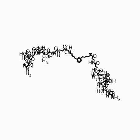 CC(C)(CCCCCCc1cccc(CCCCC2(C(=O)CCNC(=O)CCNC(=O)C(O)C(C)(C)COP(=O)(O)OP(=O)(O)OCC3OC(n4cnc5c(N)ncnc54)C(O)C3OP(=O)(O)O)CC2)c1)C(=O)CCNC(=O)CCNC(=O)C(O)C(C)(C)COP(=O)(O)OP(=O)(O)OCC1OC(n2cnc3c(N)ncnc32)C(O)C1OP(=O)(O)O